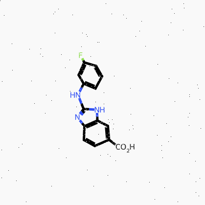 O=C(O)c1ccc2nc(Nc3cccc(F)c3)[nH]c2c1